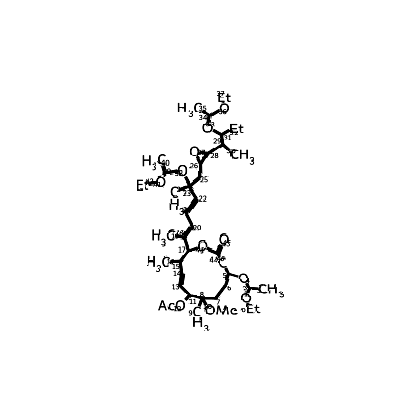 CCOC(C)OC1CCC(C)(OC)C(OC(C)=O)/C=C/C(C)C(/C(C)=C/C=C/C(C)(CC2OC2C(C)C(CC)OC(C)OCC)OC(C)OCC)OC(=O)C1